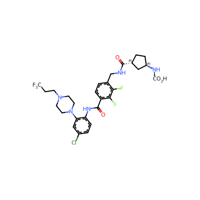 O=C(O)N[C@@H]1CC[C@@H](C(=O)NCc2ccc(C(=O)Nc3ccc(Cl)cc3N3CCN(CCC(F)(F)F)CC3)c(F)c2F)C1